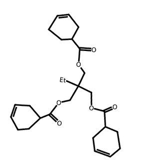 CCC(COC(=O)C1CC=CCC1)(COC(=O)C1CC=CCC1)COC(=O)C1CC=CCC1